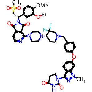 CCOc1cc([C@@H](CS(C)(=O)=O)N2C(=O)c3ccnc(N4CCN([C@H]5CCN(Cc6ccc(Oc7ccc8c(N9CCC(=O)NC9=O)nn(C)c8c7)cc6)CC5(F)F)CC4)c3C2=O)ccc1OC